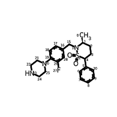 C[C@H]1CCC(c2ccccc2)S(=O)(=O)N1Cc1ccc(N2CCNCC2)c(F)c1